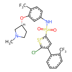 CN1CC[C@@H](Oc2cc(NS(=O)(=O)c3cc(-c4ccccc4C(F)(F)F)c(Cl)s3)ccc2C(F)(F)F)C1